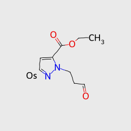 CCOC(=O)c1ccnn1CCC=O.[Os]